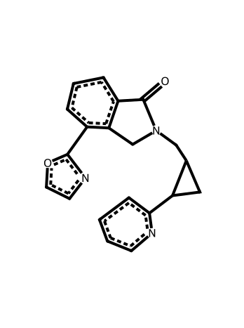 O=C1c2cccc(-c3ncco3)c2CN1CC1CC1c1ccccn1